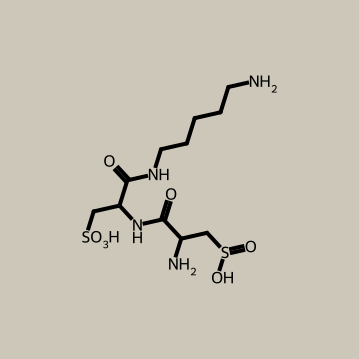 NCCCCCNC(=O)C(CS(=O)(=O)O)NC(=O)C(N)CS(=O)O